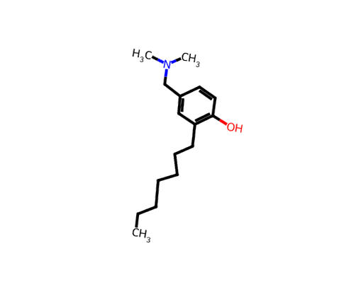 CCCCCCCc1cc(CN(C)C)ccc1O